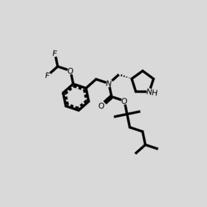 CC(C)CCC(C)(C)OC(=O)N(Cc1ccccc1OC(F)F)C[C@@H]1CCNC1